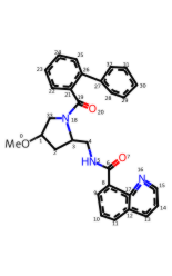 COC1CC(CNC(=O)c2cccc3cccnc23)N(C(=O)c2ccccc2-c2ccccc2)C1